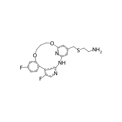 NCCSCc1cc2nc(c1)OCCCOc1cc(F)ccc1-c1cc(ncc1F)N2